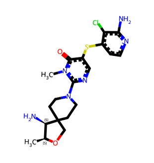 C[C@@H]1OCC2(CCN(c3ncc(Sc4ccnc(N)c4Cl)c(=O)n3C)CC2)[C@@H]1N